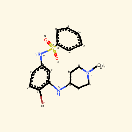 CN1CCC(Nc2cc(NS(=O)(=O)c3ccccc3)ccc2Br)CC1